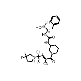 CC(C)(C=C(C#N)C(=O)N1CCCC(NC(=O)N[C@@H](Cc2ccccc2)B(O)O)C1)N1CCC(F)(F)C1